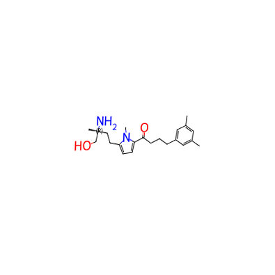 Cc1cc(C)cc(CCCC(=O)c2ccc(CC[C@@](C)(N)CO)n2C)c1